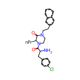 CCCC1C(=O)N(CCc2ccc3ccccc3c2)CCN1C(=O)C(N)Cc1ccc(Cl)cc1